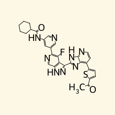 CC(=O)c1ccc(-c2ccnc3[nH]c(-c4n[nH]c5cnc(-c6cncc(NC(=O)C7CCCCC7)c6)c(F)c45)nc23)s1